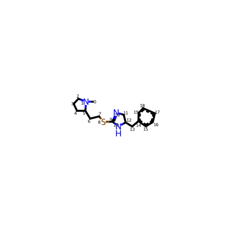 CN1CCCC1CCSC1=NCC(Cc2ccccc2)N1